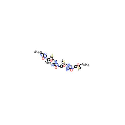 CNCCC(Oc1ccc(CN2CCN(N(C)CCC(Oc3ccc(CN4CCN(N(C)CCC(Oc5ccc(CN6CCN(C)c7cc(OC)ncc7C6=O)cc5)c5ccsc5)c5cc(OC)ncc5C4=O)cc3)c3ccc(C)s3)c3ncncc3C2=O)cc1)c1ccc(C)s1